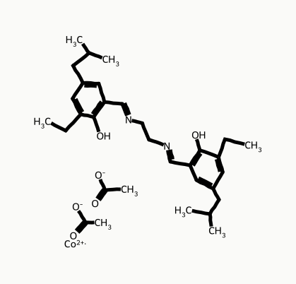 CC(=O)[O-].CC(=O)[O-].CCc1cc(CC(C)C)cc(C=NCCN=Cc2cc(CC(C)C)cc(CC)c2O)c1O.[Co+2]